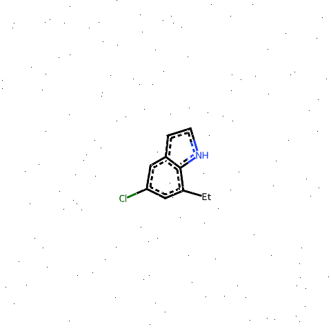 CCc1cc(Cl)cc2cc[nH]c12